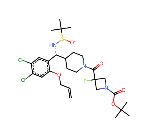 C=CCOc1cc(Cl)c(Cl)cc1[C@H](N[S+]([O-])C(C)(C)C)C1CCN(C(=O)C2(F)CN(C(=O)OC(C)(C)C)C2)CC1